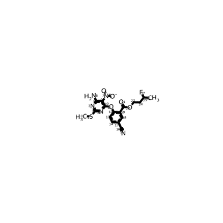 CSc1nc(N)c([N+](=O)[O-])c(Oc2ccc(C#N)cc2C(=O)OCCC(C)F)n1